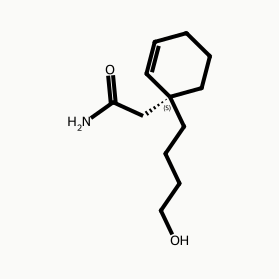 NC(=O)C[C@]1(CCCCO)C=CCCC1